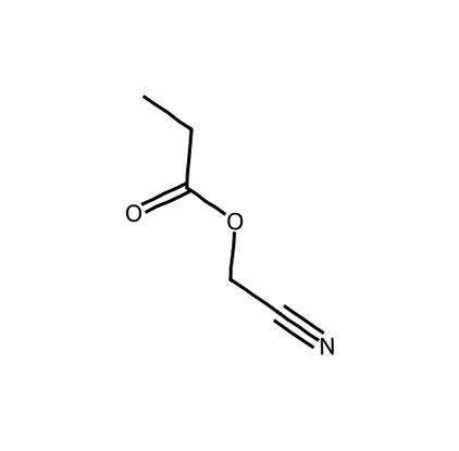 CCC(=O)OCC#N